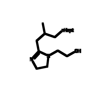 CCCCCCCCC(C)CC1=NCCN1CCO